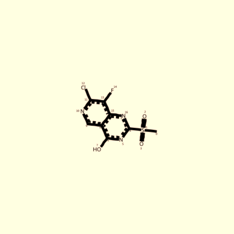 CS(=O)(=O)c1nc(O)c2cnc(Cl)c(F)c2n1